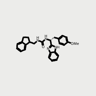 COc1ccc(C[C@@H](NC(=O)NCC2CCc3ccccc32)c2nc3ccccc3[nH]2)cc1